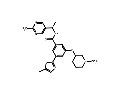 Cc1cnc(-c2cc(O[C@@H]3CCCN(C(=O)O)C3)cc(C(=O)N[C@H](C)c3cnc(C(F)(F)F)nc3)c2)s1